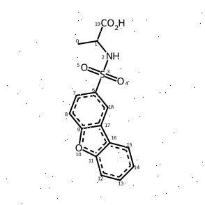 CC(NS(=O)(=O)c1ccc2oc3ccccc3c2c1)C(=O)O